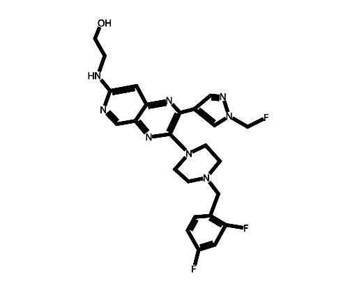 OCCNc1cc2nc(-c3cnn(CF)c3)c(N3CCN(Cc4ccc(F)cc4F)CC3)nc2cn1